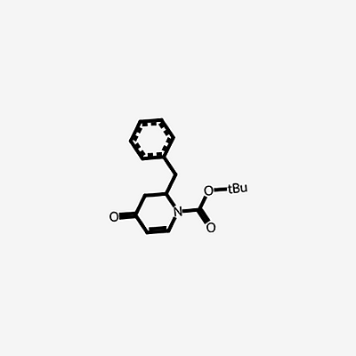 CC(C)(C)OC(=O)N1C=CC(=O)CC1Cc1ccccc1